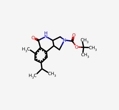 Cc1cc(C(C)C)cc2c1C(=O)NC1CN(C(=O)OC(C)(C)C)CC21